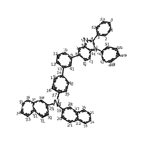 c1ccc(-c2nc3cc(-c4cccc(-c5ccc(N(c6ccc7ccccc7c6)c6ccc7ccccc7c6)cc5)c4)ccc3n2-c2ccccc2)cc1